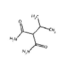 CC(C)C(C(N)=O)C(N)=O